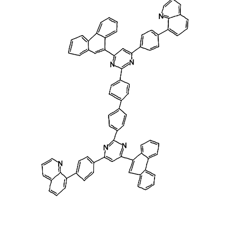 c1cnc2c(-c3ccc(-c4cc(-c5cc6ccccc6c6ccccc56)nc(-c5ccc(-c6ccc(-c7nc(-c8ccc(-c9cccc%10cccnc9%10)cc8)cc(-c8cc9ccccc9c9ccccc89)n7)cc6)cc5)n4)cc3)cccc2c1